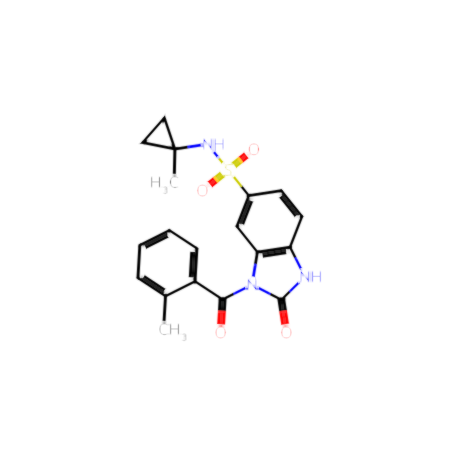 Cc1ccccc1C(=O)n1c(=O)[nH]c2ccc(S(=O)(=O)NC3(C)CC3)cc21